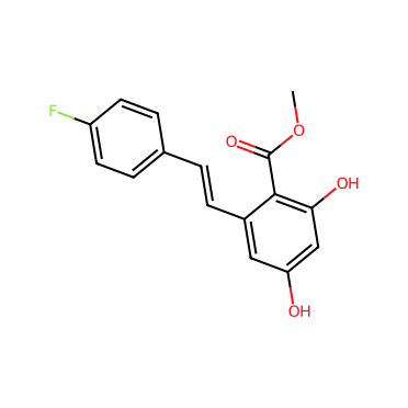 COC(=O)c1c(O)cc(O)cc1C=Cc1ccc(F)cc1